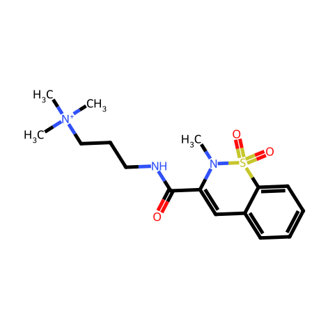 CN1C(C(=O)NCCC[N+](C)(C)C)=Cc2ccccc2S1(=O)=O